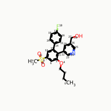 CCCCOc1cc(S(C)(=O)=O)cc(-c2ccc(F)cc2)c1-c1cncc(CO)c1